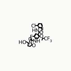 CC(Oc1cc(NC(=O)N2C(=O)CCC2CO)c(F)cc1C(=O)Nc1c(F)cccc1Cl)C(F)(F)F